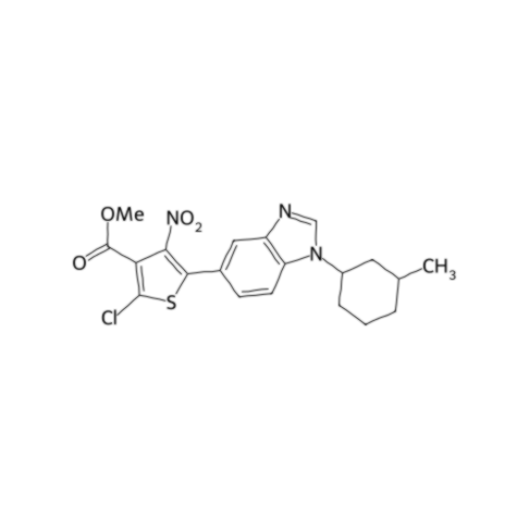 COC(=O)c1c(Cl)sc(-c2ccc3c(c2)ncn3C2CCCC(C)C2)c1[N+](=O)[O-]